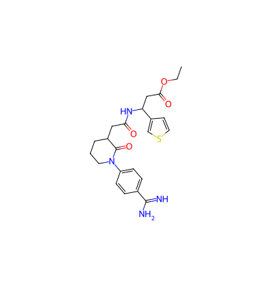 CCOC(=O)CC(NC(=O)CC1CCCN(c2ccc(C(=N)N)cc2)C1=O)c1ccsc1